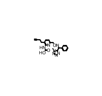 C#CCCc1ccc(CO/N=C(/c2ccccc2)c2nnnn2C)nc1NC(=O)O